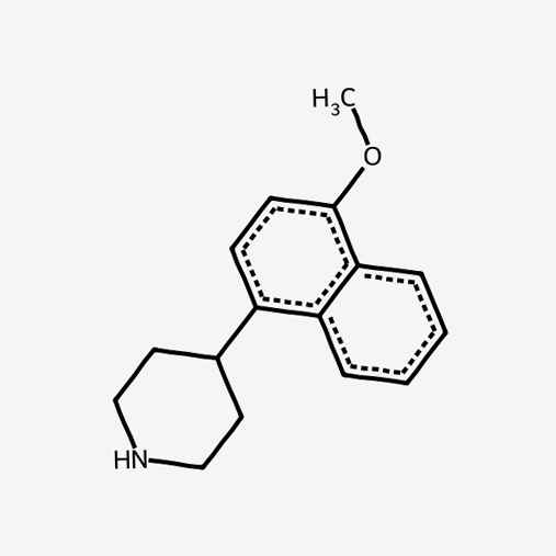 COc1ccc(C2CCNCC2)c2ccccc12